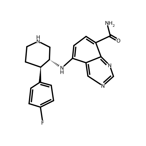 NC(=O)c1ccc(N[C@H]2CNCC[C@@H]2c2ccc(F)cc2)c2cncnc12